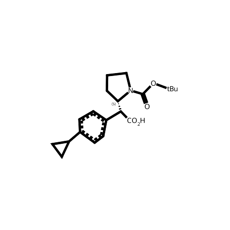 CC(C)(C)OC(=O)N1CCC[C@H]1C(C(=O)O)c1ccc(C2CC2)cc1